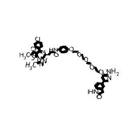 Cc1sc2c(c1C)C(c1ccc(Cl)cc1)=N[C@@H](CCC(=O)Nc1ccc(OCCOCCOCCOCCOc3cc(-c4ccc5c(c4)CC(=O)N5)cnc3N)cc1)c1nnc(C)n1-2